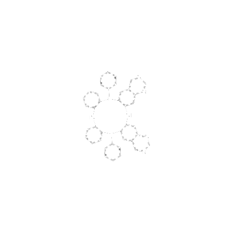 c1ccc(P2c3ccccc3Nc3ccccc3P(c3ccccc3)c3cc4cncnc4cc3Nc3cc4ncncc4cc32)cc1